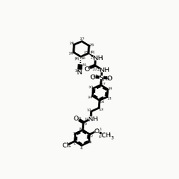 COc1ccc(Cl)cc1C(=O)NCCc1ccc(S(=O)(=O)NC(=O)N[C@@H]2CCCC[C@H]2C#N)cc1